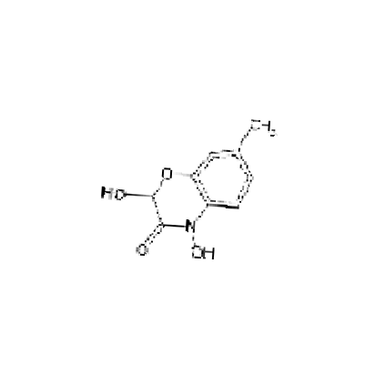 Cc1ccc2c(c1)OC(O)C(=O)N2O